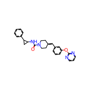 O=C(NC1CC1c1ccccc1)N1CCC(=Cc2cccc(Oc3ncccn3)c2)CC1